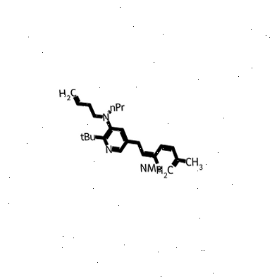 C=CCCN(CCC)c1cc(C/C=C(\C=C/C(=C)C)NC)cnc1C(C)(C)C